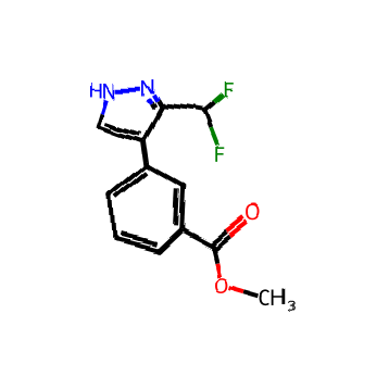 COC(=O)c1cccc(-c2c[nH]nc2C(F)F)c1